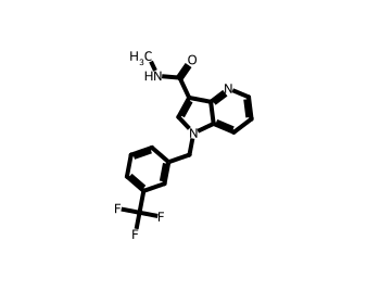 CNC(=O)c1cn(Cc2cccc(C(F)(F)F)c2)c2cccnc12